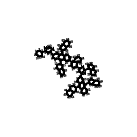 c1ccc(-c2cc(-c3ccc4c(-c5ccc6ccccc6c5)c5cc(-c6ccc(-c7cc(-c8ccc9c(-c%10ccc%11ccccc%11c%10)c%10ccccc%10c(-c%10ccc%11ccccc%11c%10)c9c8)nc(-c8cccc9ccccc89)n7)c7ccccc67)ccc5c(-c5ccc6ccccc6c5)c4c3)ncn2)cc1